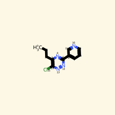 CCCc1nc(-c2cccnc2)nnc1Cl